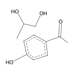 CC(=O)c1ccc(O)cc1.CC(O)CO